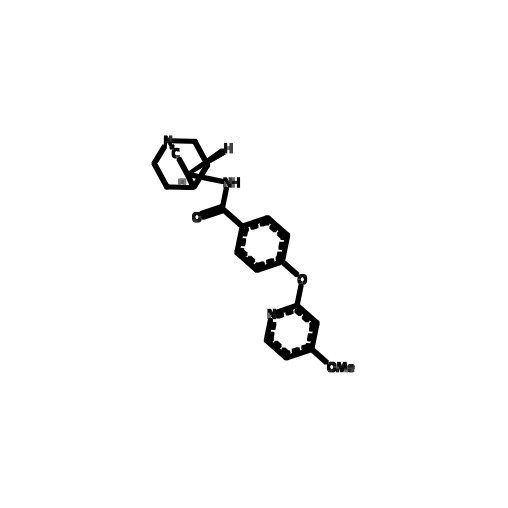 COc1ccnc(Oc2ccc(C(=O)N[C@H]3CN4CCC3CC4)cc2)c1